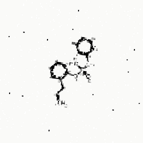 C=CCc1ccccc1OP(=O)(O)Oc1ccccc1